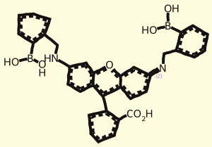 O=C(O)c1ccccc1-c1c2cc/c(=N/Cc3ccccc3B(O)O)cc-2oc2cc(NCc3ccccc3B(O)O)ccc12